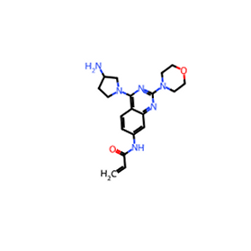 C=CC(=O)Nc1ccc2c(N3CCC(N)C3)nc(N3CCOCC3)nc2c1